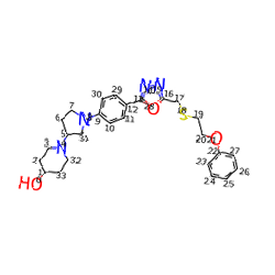 OC1CCN(C2CCN(c3ccc(-c4nnc(CSCCOc5ccccc5)o4)cc3)C2)CC1